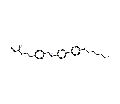 C=CC(=O)OCCc1ccc(/C=C/c2ccc(-c3ccc(OCCCCCC)cc3)cc2)cc1